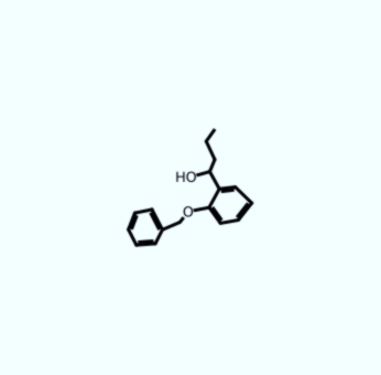 CCCC(O)c1ccccc1OCc1ccccc1